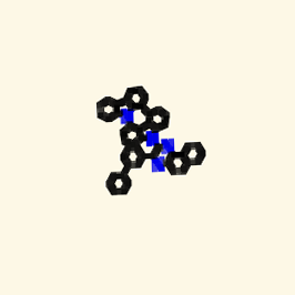 c1ccc(-c2cccc(-c3nc4ccc5ccccc5c4nc3-n3c4cccc5c6cccc7c8ccccc8n(c8cccc3c8c54)c67)c2)cc1